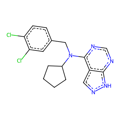 Clc1ccc(CN(c2ncnc3[nH]ncc23)C2CCCC2)cc1Cl